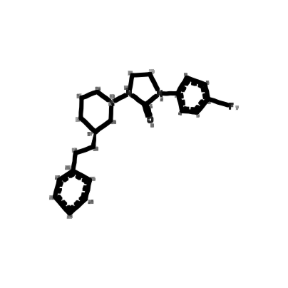 O=C1N(c2ccc(F)cc2)CCN1N1CCC[C@H](CCc2ccccc2)C1